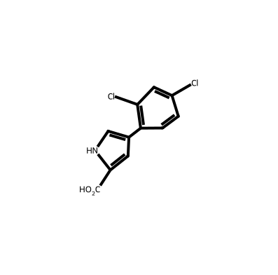 O=C(O)c1cc(-c2ccc(Cl)cc2Cl)c[nH]1